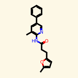 Cc1ccc(CCC(=O)Nc2ncc(-c3ccccc3)cc2C)o1